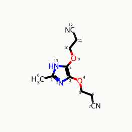 Cc1nc(OCCC#N)c(OCCC#N)[nH]1